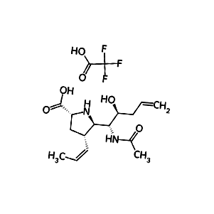 C=CC[C@H](O)[C@H](NC(C)=O)[C@@H]1N[C@@H](C(=O)O)C[C@H]1/C=C\C.O=C(O)C(F)(F)F